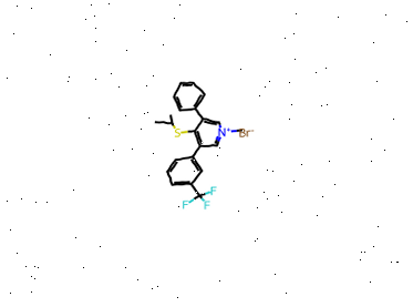 CC(C)Sc1c(-c2ccccc2)c[n+](C)cc1-c1cccc(C(F)(F)F)c1.[Br-]